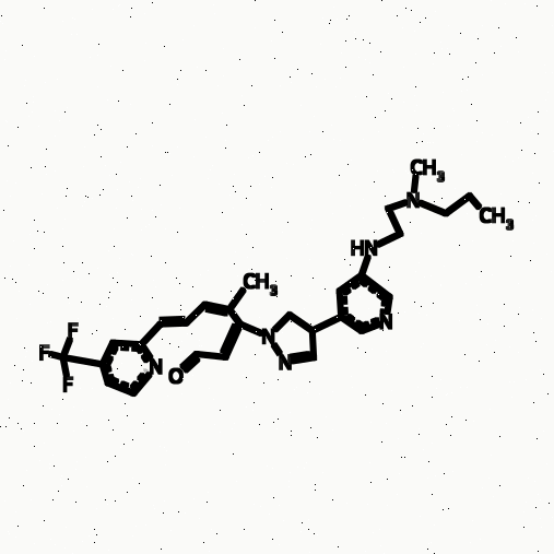 CCCN(C)CCNc1cncc(C2C=NN(C(=C/C=O)/C(C)=C\C=C\c3cc(C(F)(F)F)ccn3)C2)c1